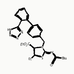 CCOC(=O)C1C(CC)SC(=NC(=O)C(C)(C)C)N1Cc1ccc(-c2ccccc2-c2nnn[nH]2)cc1